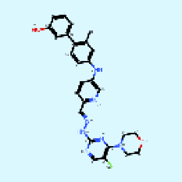 Cc1cc(Nc2ccc(/C=N/Nc3ncc(F)c(N4CCOCC4)n3)nc2)ccc1-c1cccc(O)c1